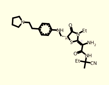 CCN1C(=O)[C@@H](CNc2ccc(CCN3CCCC3)cc2)S/C1=C(/N)C(=O)NC(C)(C#N)CC